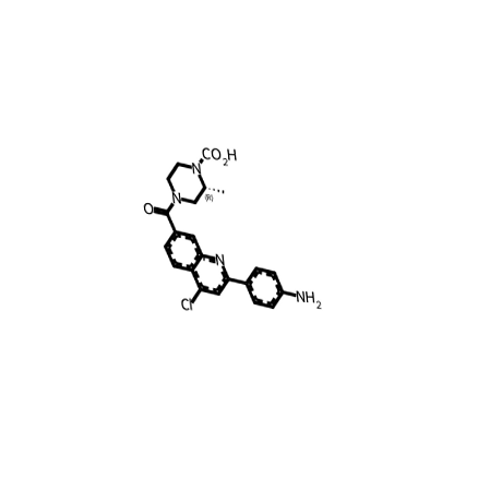 C[C@@H]1CN(C(=O)c2ccc3c(Cl)cc(-c4ccc(N)cc4)nc3c2)CCN1C(=O)O